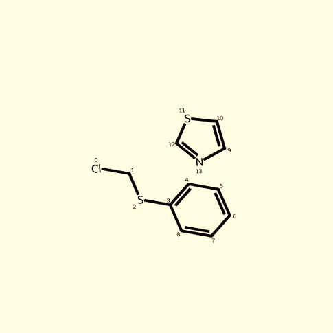 ClCSc1ccccc1.c1cscn1